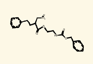 O=[PH2]CC(CCc1ccccc1)C(=O)OCCNC(=O)OCc1ccccc1